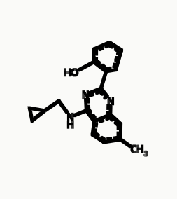 Cc1ccc2c(NCC3CC3)nc(-c3ccccc3O)nc2c1